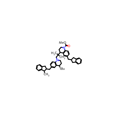 COC(=O)N1CCC(C(C)(C)CN2CCC(C(C)(C)C)c3cc(CC4Cc5ccccc5C4C)ccc32)c2cc(CC3Cc4ccccc4C3)ccc21